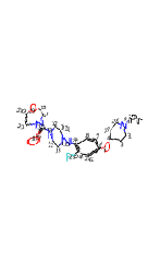 CC(C)N1CCC(Oc2ccc(N3CCN(C(=O)N4CCOCC4)CC3)c(F)c2)CC1